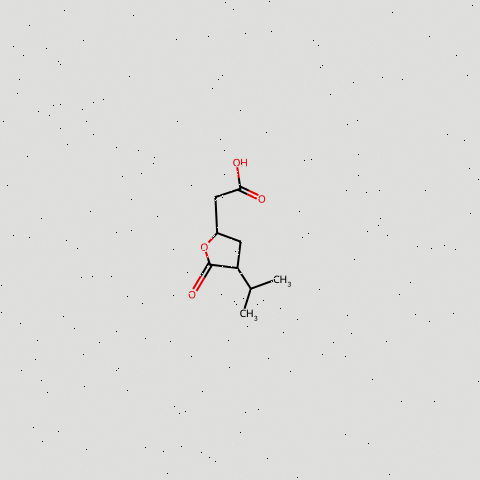 CC(C)C1CC(CC(=O)O)OC1=O